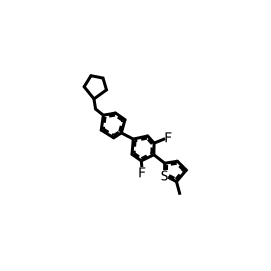 Cc1ccc(-c2c(F)cc(-c3ccc(CC4CCCC4)cc3)cc2F)s1